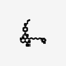 C=CCOc1ccc(SCN2SCCC(C(=O)O)C2C(=O)CCCCCCn2ccnc2)cc1